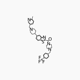 Cc1ccc(CN2CCC(c3ccc4sc(C(=O)N5CCN(Cc6ccc(C(F)(F)F)cc6)CC5)nc4c3)CC2)cn1